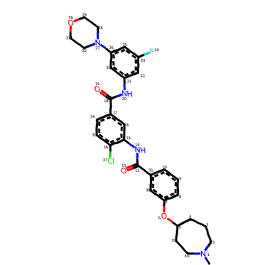 CN1CCCC(Oc2cccc(C(=O)Nc3cc(C(=O)Nc4cc(F)cc(N5CCOCC5)c4)ccc3Cl)c2)CC1